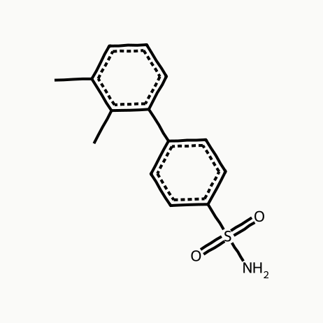 Cc1cccc(-c2ccc(S(N)(=O)=O)cc2)c1C